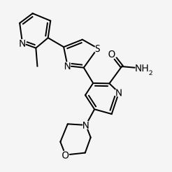 Cc1ncccc1-c1csc(-c2cc(N3CCOCC3)cnc2C(N)=O)n1